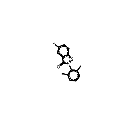 Cc1cccc(C)c1-n1sc2ccc(F)cc2c1=O